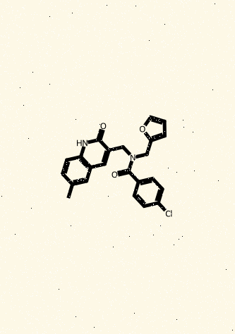 Cc1ccc2[nH]c(=O)c(CN(Cc3ccco3)C(=O)c3ccc(Cl)cc3)cc2c1